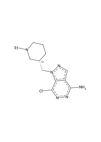 CCN1CCC[C@H](Cn2ncc3c(N)nnc(Cl)c32)C1